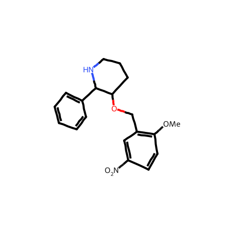 COc1ccc([N+](=O)[O-])cc1COC1CCCNC1c1ccccc1